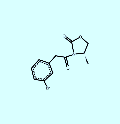 C[C@H]1COC(=O)N1C(=O)Cc1cccc(Br)c1